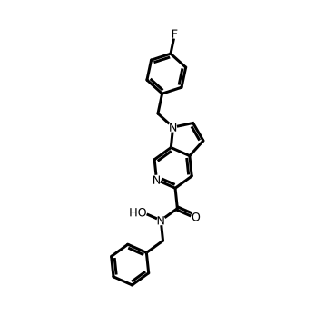 O=C(c1cc2ccn(Cc3ccc(F)cc3)c2cn1)N(O)Cc1ccccc1